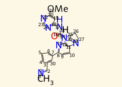 C/N=C/c1cccc(-c2ccc3c(n2)N(C(=O)Nc2cc(OC)ncn2)[C@H]2CCN3C2)c1